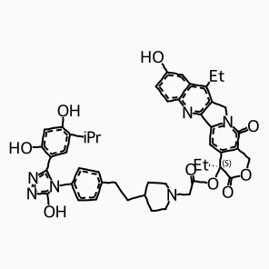 CCc1c2c(nc3ccc(O)cc13)-c1cc3c(c(=O)n1C2)COC(=O)[C@@]3(CC)OC(=O)CN1CCC(CCc2ccc(-n3c(O)nnc3-c3cc(C(C)C)c(O)cc3O)cc2)CC1